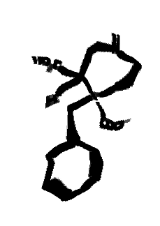 CCC1(C(=O)O)CNCC[N@+]1(Cc1ccccc1)C(=O)[O-]